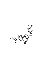 COc1ccc(OC2CCN(c3nnc(C(=O)O)cc3C(F)F)CC2)cn1